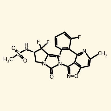 Cc1cc2onc(-n3cc4n(c3=O)C[C@@H](NS(C)(=O)=O)C4(F)F)c2c(-c2c(F)cccc2F)n1